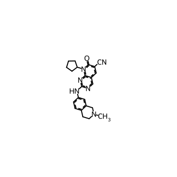 CN1CCc2ccc(Nc3ncc4cc(C#N)c(=O)n(C5CCCC5)c4n3)cc2C1